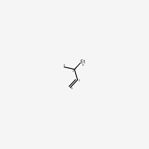 C=C[C](C)CC